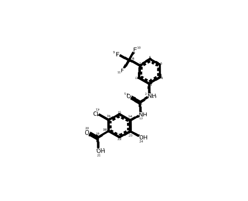 O=C(Nc1cccc(C(F)(F)F)c1)Nc1cc(Cl)c(C(=O)O)cc1O